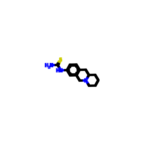 NC(=S)Nc1ccc2c(c1)CN1CCCCC1C2